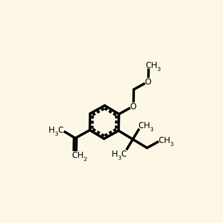 C=C(C)c1ccc(OCOC)c(C(C)(C)CC)c1